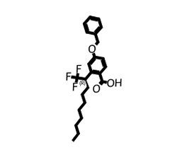 CCCCCCCC[C@H](c1cc(OCc2ccccc2)ccc1C(=O)O)C(F)(F)F